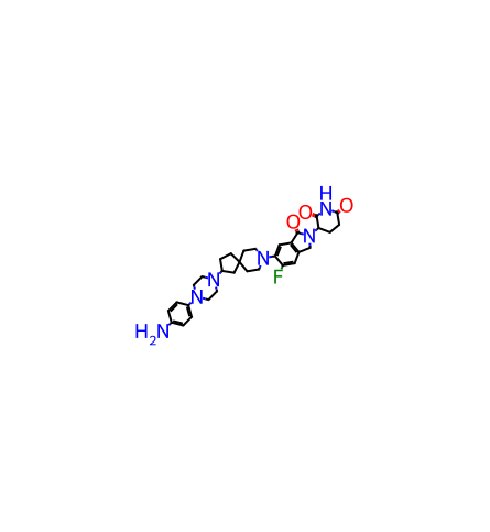 Nc1ccc(N2CCN(C3CCC4(CCN(c5cc6c(cc5F)CN(C5CCC(=O)NC5=O)C6=O)CC4)C3)CC2)cc1